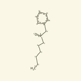 CCCCCC[PH](=O)Cc1ccccc1